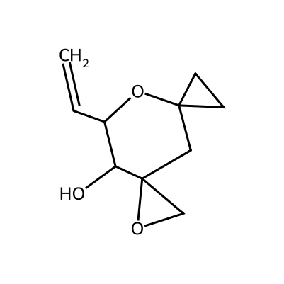 C=CC1OC2(CC2)CC2(CO2)C1O